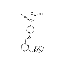 CC#C[C@@H](CC(=O)O)c1ccc(OCc2cccc(CN3CC4CC(C3)O4)c2)cc1